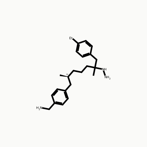 CCc1ccc(CC(C)(CCC[C@H](C)Cc2ccc(CN)cc2)NN)cc1